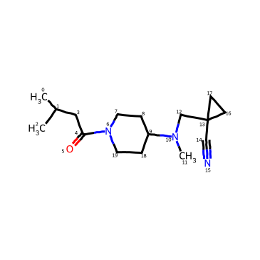 CC(C)CC(=O)N1CCC(N(C)CC2(C#N)CC2)CC1